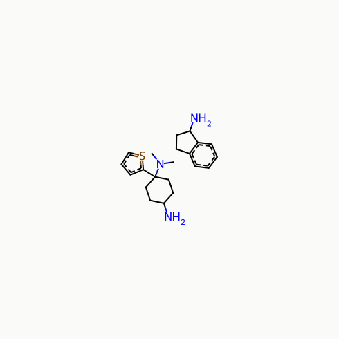 CN(C)C1(c2cccs2)CCC(N)CC1.NC1CCc2ccccc21